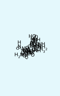 C[C@H](NC(=O)CNC(=O)[C@H](Cc1c[nH]c2ccccc12)NC(=O)[C@H](CC(=O)O)NC(=O)[C@H](CCC(N)=O)NC(=O)[C@@H](N)Cc1c[nH]c2ccccc12)C(=O)N[C@@H](Cc1c[nH]cn1)C(=O)N[C@@H](CCCNC(=N)N)C(=O)N[C@@H](CS)C(=O)O